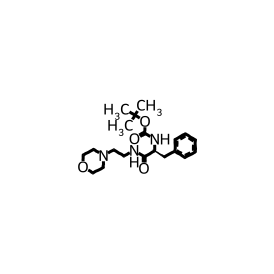 CC(C)(C)OC(=O)N[C@@H](Cc1ccccc1)C(=O)NCCN1CCOCC1